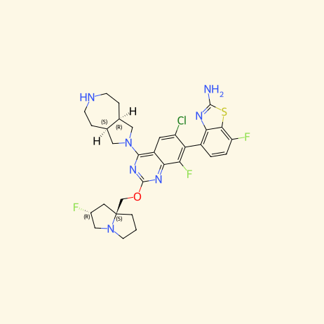 Nc1nc2c(-c3c(Cl)cc4c(N5C[C@H]6CCNCC[C@H]6C5)nc(OC[C@@]56CCCN5C[C@H](F)C6)nc4c3F)ccc(F)c2s1